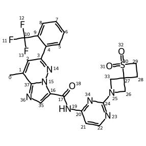 Cc1cc(-c2ccccc2C(F)(F)F)nn2c(C(=O)Nc3ccnc(N4CC5(CCS5(=O)=O)C4)n3)cnc12